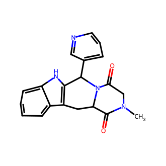 CN1CC(=O)N2C(Cc3c([nH]c4ccccc34)C2c2cccnc2)C1=O